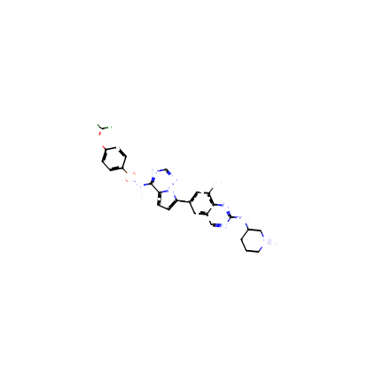 CCc1cc(-c2ccc3c(NS(=O)(=O)c4ccc(OC(F)F)cc4)ncnn23)cc2cnc(NC3CCCNC3)nc12